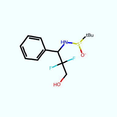 CC(C)(C)[S+]([O-])NC(c1ccccc1)C(F)(F)CO